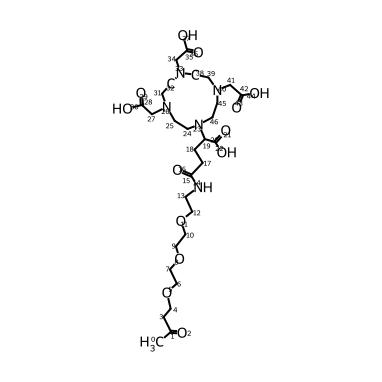 CC(=O)CCOCCOCCOCCNC(=O)CCC(C(=O)O)N1CCN(CC(=O)O)CCN(CC(=O)O)CCN(CC(=O)O)CC1